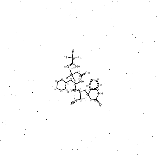 C#[N+][C@@H]1C[C@]2(CC(=O)Nc3ccccc32)CN1C(=O)C(CC1CCCCC1)NC(=O)[C@@H](NC(=O)C(F)(F)F)C(C)(C)C